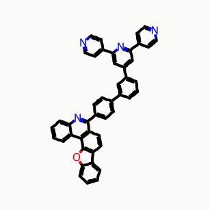 c1cc(-c2ccc(-c3nc4ccccc4c4c3ccc3c5ccccc5oc34)cc2)cc(-c2cc(-c3ccncc3)nc(-c3ccncc3)c2)c1